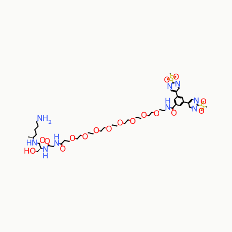 C[C@@H](CCCCN)NC(=O)[C@H](CO)NC(=O)CNC(=O)CCOCCOCCOCCOCCOCCOCCOCCOCCNC(=O)c1cc(-c2cnc(S(C)(=O)=O)nc2)cc(-c2cnc(S(C)(=O)=O)nc2)c1